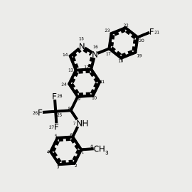 Cc1ccccc1NC(c1ccc2c(cnn2-c2ccc(F)cc2)c1)C(F)(F)F